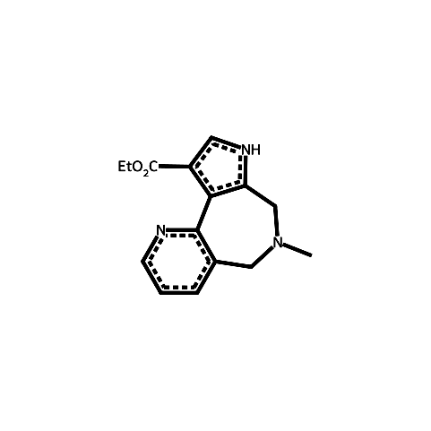 CCOC(=O)c1c[nH]c2c1-c1ncccc1CN(C)C2